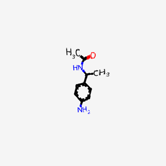 CC(=O)NC(C)c1ccc(N)cc1